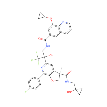 C[C@]1(C(=O)NCC2(O)CC2)COc2c1cc(C(O)(CNC(=O)c1cc(OC3CC3)c3ncccc3c1)C(F)(F)F)nc2-c1ccc(F)cc1